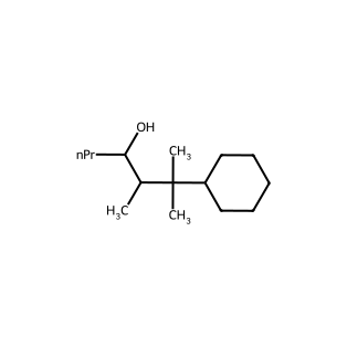 CCCC(O)C(C)C(C)(C)C1CCCCC1